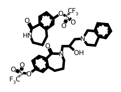 O=C1NCCCc2cc(OS(=O)(=O)C(F)(F)F)ccc21.O=C1c2ccc(OS(=O)(=O)C(F)(F)F)cc2CCCN1CC(O)CN1CCc2ccccc2C1